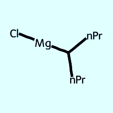 CCC[CH](CCC)[Mg][Cl]